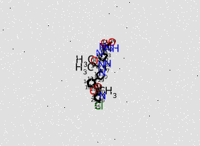 CO[C@H](C)Cn1c(CN2CCC(c3cccc4c3O[C@@](C)(c3ccc(Cl)cn3)O4)CC2)nc2cc(-c3noc(=O)[nH]3)ncc21